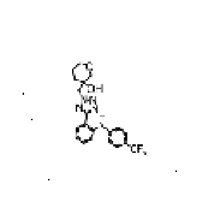 OC1(Cn2nnc(-c3ccccc3Nc3ccc(C(F)(F)F)cc3)n2)CCCOC1